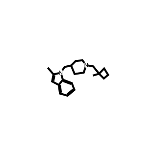 Cc1cc2ccccc2n1CC1CCN(CC2(C)CCC2)CC1